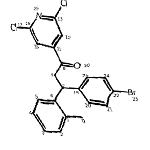 Cc1ccccc1C(CC(=O)c1cc(Cl)nc(Cl)c1)c1ccc(Br)cc1